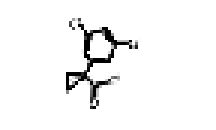 O=C(Cl)C1(c2cc(Cl)cc(Cl)c2)CC1